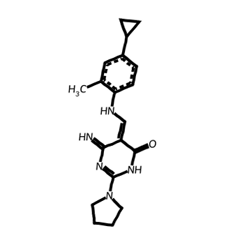 Cc1cc(C2CC2)ccc1N/C=C1\C(=N)N=C(N2CCCC2)NC1=O